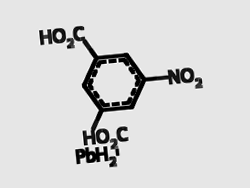 O=C(O)c1cc(C(=O)O)cc([N+](=O)[O-])c1.[PbH2]